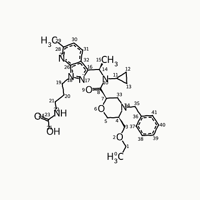 CCOC[C@H]1CO[C@@H](C(=O)N(C2CC2)[C@H](C)c2nn(CCCNC(=O)O)c3nc(C)ccc23)CN1Cc1ccccc1